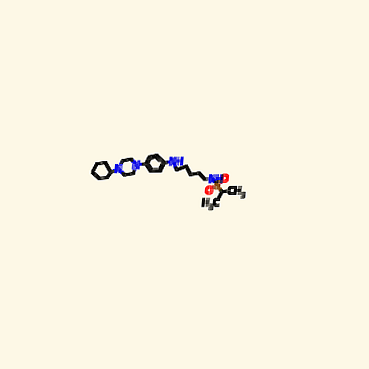 CC(C)S(=O)(=O)NCCCCCNc1ccc(N2CCN(C3CCCCC3)CC2)cc1